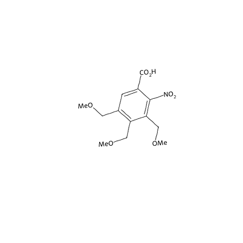 COCc1cc(C(=O)O)c([N+](=O)[O-])c(COC)c1COC